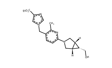 CCOC(=O)c1cn(Cc2ccc(N3C[C@@H]4[C@H](CO)[C@@H]4C3)nc2C)cn1